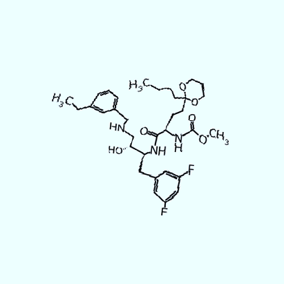 CCCCC1(CC[C@@H](NC(=O)OC)C(=O)N[C@@H](Cc2cc(F)cc(F)c2)[C@H](O)CNCc2cccc(CC)c2)OCCCO1